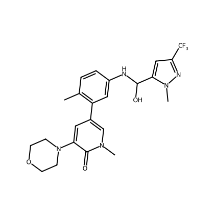 Cc1ccc(NC(O)c2cc(C(F)(F)F)nn2C)cc1-c1cc(N2CCOCC2)c(=O)n(C)c1